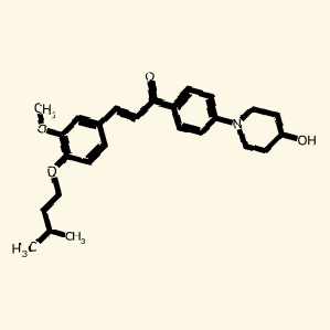 COc1cc(C=CC(=O)c2ccc(N3CCC(O)CC3)cc2)ccc1OCCC(C)C